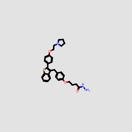 NNC(=O)CCCOc1ccc(Cc2c(-c3ccc(OCCN4CCCC4)cc3)sc3ccccc23)cc1